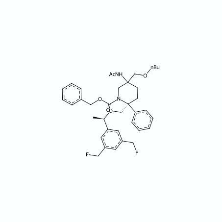 CCCCOCC1(NC(C)=O)CC[C@@](CO[C@H](C)c2cc(CF)cc(CF)c2)(c2ccccc2)N(C(=O)OCc2ccccc2)C1